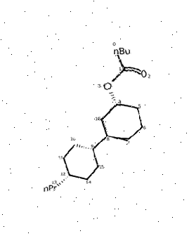 CCCCC(=O)O[C@@H]1CCC[C@@H]([C@H]2CC[C@@H](CCC)CC2)C1